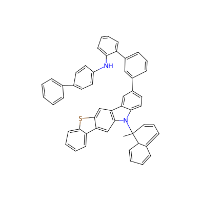 CC1(n2c3ccc(-c4cccc(-c5ccccc5Nc5ccc(-c6ccccc6)cc5)c4)cc3c3cc4sc5ccccc5c4cc32)C=CC=C2C=CC=CC21